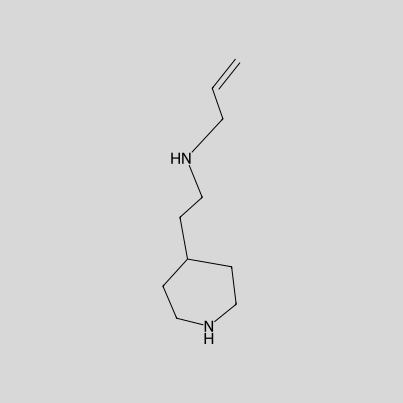 C=CCNCCC1CCNCC1